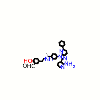 C[C@@H](NCCc1ccc(O)c(C=O)c1)c1ccc(-n2c(-c3cccnc3N)nc3ccc(-c4ccccc4)nc32)cc1